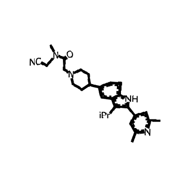 Cc1cc(-c2[nH]c3ccc(C4CCN(CC(=O)N(C)CC#N)CC4)cc3c2C(C)C)cc(C)n1